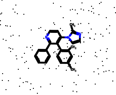 Cc1ccc(-c2c(-n3ccnc3C)ccnc2-c2ccccc2)c(C)c1